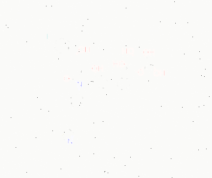 O=C1[C@H](CC[C@H](O)c2ccc(F)cc2)[C@@H](c2ccc(-c3cccc(C4O[C@H](CO)[C@@H](O)[C@H](O)[C@H]4O)c3)cc2O)N1c1ccc(CCc2cncs2)cc1